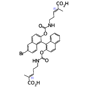 C/C(=C\CCNC(=O)Oc1ccc2ccccc2c1-c1c(OC(=O)NCC/C=C(\C)C(=O)O)ccc2cc(Br)ccc12)C(=O)O